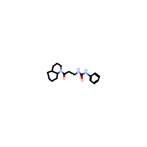 O=C(NCCC(=O)N1CCCC2CCCCC21)Nc1ccccc1